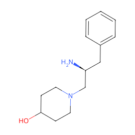 N[C@@H](Cc1ccccc1)CN1CCC(O)CC1